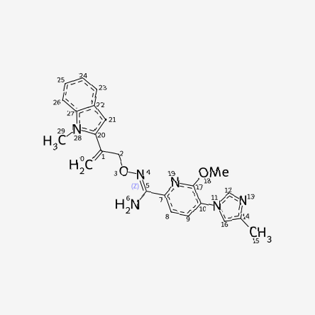 C=C(CO/N=C(\N)c1ccc(-n2cnc(C)c2)c(OC)n1)c1cc2ccccc2n1C